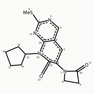 CSc1ncc2cc(N3CCC3=O)c(=O)n(C3CCCC3)c2n1